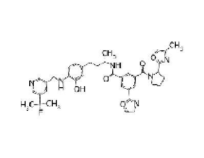 Cc1coc([C@H]2CCCN2C(=O)c2cc(C(=O)N[C@@H](C)CCc3ccc(NCc4cncc(C(C)(C)F)c4)c(O)c3)cc(-c3ncco3)c2)n1